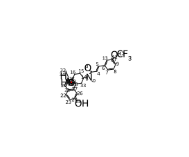 CN(C(=O)/C=C/c1cccc(OC(F)(F)F)c1)C1CC[C@@]2(O)[C@H]3Cc4ccc(O)cc4[C@@]2(CCN3C)C1